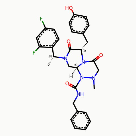 C[C@H](c1ccc(F)cc1F)N1C[C@H]2N(C(=O)CN(C)N2C(=O)NCc2ccccc2)[C@@H](Cc2ccc(O)cc2)C1=O